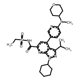 CCS(=O)(=O)NC(=O)c1cc(-c2ccc(N(C)C3CCOCC3)nc2)c2c(C(C)C)nn(C3CCCCC3)c2n1